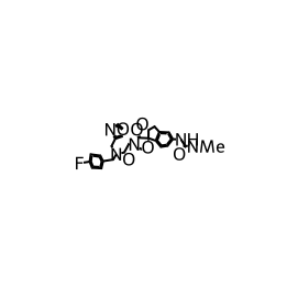 CNC(=O)Nc1ccc2c(c1)CC(=O)[C@]21OCN(CC(=O)N(Cc2ccc(F)cc2)Cc2cocn2)C1=O